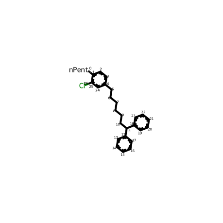 CCCCCc1ccc(CCCCCCC(c2ccccc2)c2ccccc2)cc1Cl